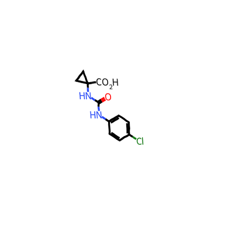 O=C(Nc1ccc(Cl)cc1)NC1(C(=O)O)CC1